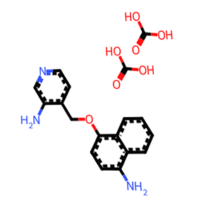 Nc1cnccc1COc1ccc(N)c2ccccc12.O=C(O)O.O=C(O)O